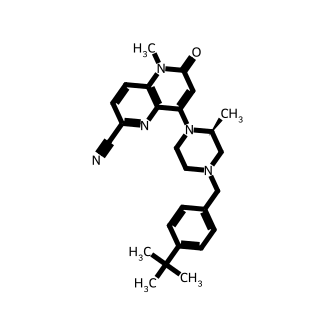 C[C@H]1CN(Cc2ccc(C(C)(C)C)cc2)CCN1c1cc(=O)n(C)c2ccc(C#N)nc12